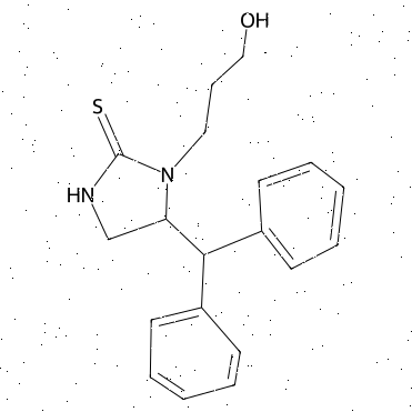 OCCCN1C(=S)NCC1C(c1ccccc1)c1ccccc1